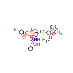 COc1cc(C2CCC(c3cc(OC)c(OC)c(OC)c3)S2)cc(NC(=O)N(O)Cc2ccccc2)c1OCCS(=O)(=O)c1ccc(Br)cc1